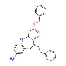 Nc1ccc2c(c1)CN(CCc1ccccc1)C(=O)C(CC(=O)OCc1ccccc1)N2